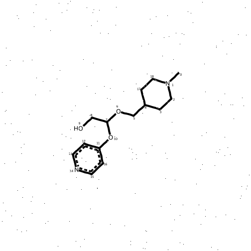 CN1CCC(COC(CO)Oc2ccncc2)CC1